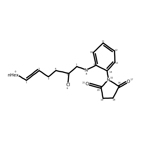 CCCCCC/C=C/CCC(Cl)C[N]c1ccccc1N1C(=O)CCC1=O